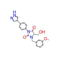 COc1cccc(CN2C(=O)N(c3ccc(-c4cn[nH]c4)cc3)C(=O)C2CO)c1